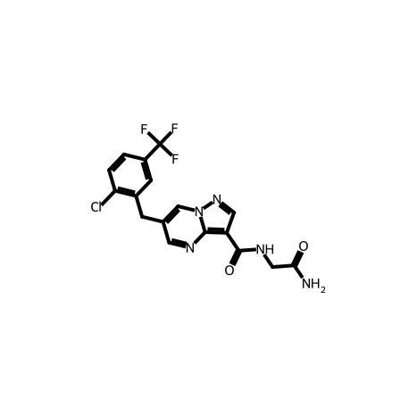 NC(=O)CNC(=O)c1cnn2cc(Cc3cc(C(F)(F)F)ccc3Cl)cnc12